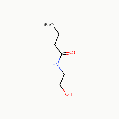 CC(C)COCCC(=O)NCCO